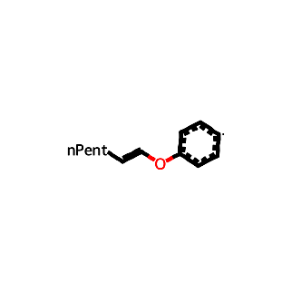 CCCCCC=COc1cc[c]cc1